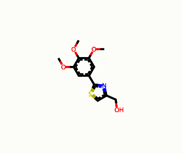 COc1cc(-c2nc(CO)cs2)cc(OC)c1OC